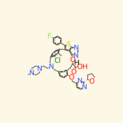 Cc1c2ccc(c1Cl)CN(CCN1CCN(C)CC1)Cc1ccc(OCc3ccnc([C@@H]4CCCO4)n3)c(c1)C[C@H](C(=O)O)Oc1ncnc3sc(-c4ccc(F)cc4)c-2c13